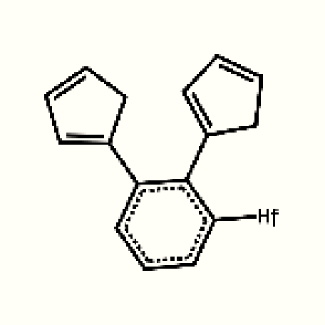 [Hf][c]1cccc(C2=CC=CC2)c1C1=CC=CC1